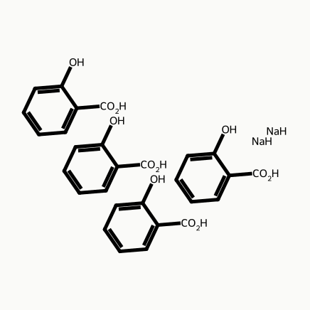 O=C(O)c1ccccc1O.O=C(O)c1ccccc1O.O=C(O)c1ccccc1O.O=C(O)c1ccccc1O.[NaH].[NaH]